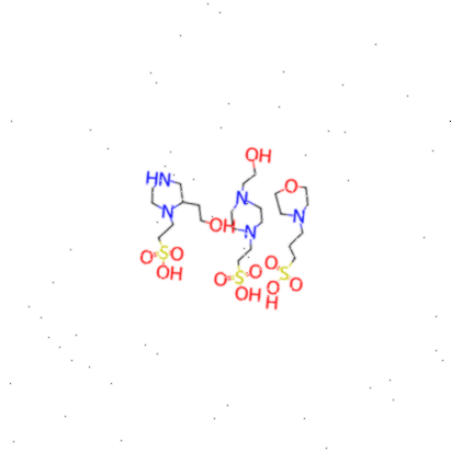 O=S(=O)(O)CCCN1CCOCC1.O=S(=O)(O)CCN1CCN(CCO)CC1.O=S(=O)(O)CCN1CCNCC1CCO